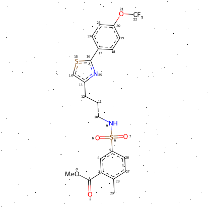 COC(=O)c1cc(S(=O)(=O)NCCCc2csc(-c3ccc(OC(F)(F)F)cc3)n2)ccc1C